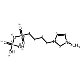 CN1C=CN(CCCCS(=O)(=O)OP(=O)(O)O)C1